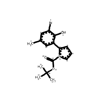 Cc1cc(Br)c(O)c(-c2cccn2C(=O)OC(C)(C)C)c1